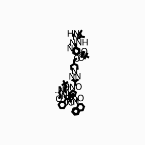 Cc1[nH]nc(Nc2ncnc3cc(OCC4CCN(c5ncc(C(=O)N[C@H]6C[C@@H](C(=O)N[C@@H]7CCCc8ccccc87)N(C(=O)C(NC(=O)[C@H](C)N(C)C(=O)OC(C)(C)C)C7CCCCC7)C6)cn5)CC4)c(S(=O)(=O)C(C)(C)C)cc23)c1C